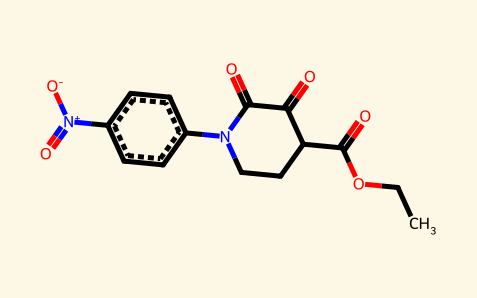 CCOC(=O)C1CCN(c2ccc([N+](=O)[O-])cc2)C(=O)C1=O